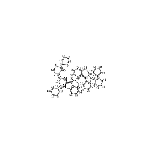 c1ccc(-c2cccc(-c3cc(-c4ccccc4)nc(-c4ccc(-c5cccc6c5-c5c(ccc7ccccc57)C6(c5ccccc5)c5ccccc5)c5ccccc45)n3)c2)cc1